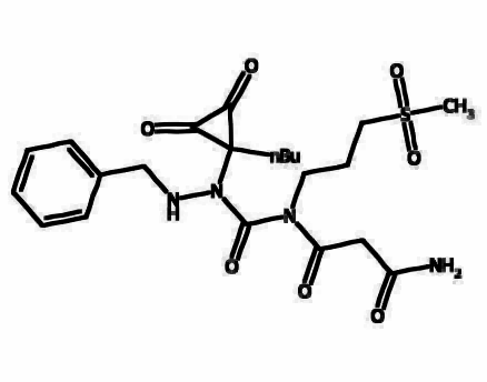 CCCCC1(N(NCc2ccccc2)C(=O)N(CCCS(C)(=O)=O)C(=O)CC(N)=O)C(=O)C1=O